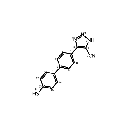 N#Cc1[nH]nnc1-c1ccc(-c2ccc(S)cc2)cc1